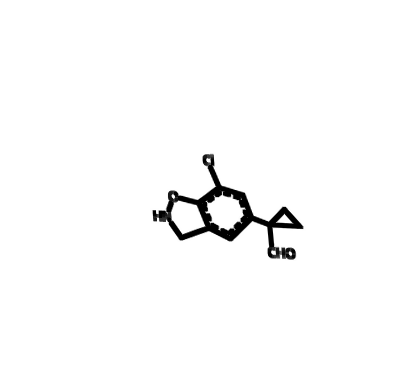 O=CC1(c2cc(Cl)c3c(c2)CNO3)CC1